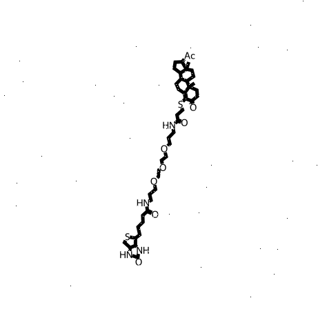 CC(=O)C1CCC2C3CCC4=C(SCCC(=O)NCCCOCCOCCOCCCNC(=O)CCCCC5SCC6NC(=O)NC65)C(=O)CCC4(C)C3CCC12C